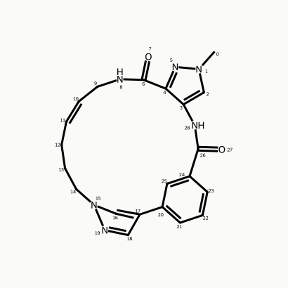 Cn1cc2c(n1)C(=O)NC/C=C\CCCn1cc(cn1)-c1cccc(c1)C(=O)N2